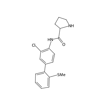 CSc1ccccc1-c1ccc(NC(=O)C2CCCN2)c(Cl)c1